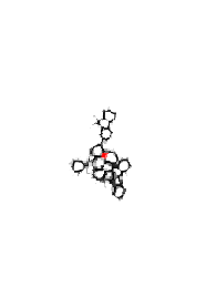 CC1(C)c2ccccc2-c2ccc(-c3ccc(N(c4ccccc4)c4cccc5c4C4=C(C=CCC4)C54c5ccccc5-n5c4nc4ccccc45)cc3)cc21